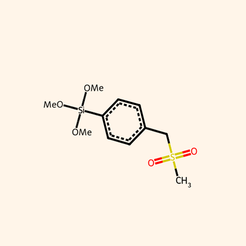 CO[Si](OC)(OC)c1ccc(CS(C)(=O)=O)cc1